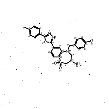 Cc1ccc(-c2nnc(-c3ccc4c(c3)N(Cc3ccc(Cl)cc3)C[C@@H](N)CS4(=O)=O)o2)cc1